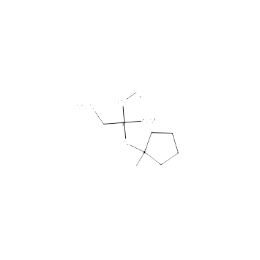 CCC1(NC(CNC)(NC)N[SiH3])CCCC1